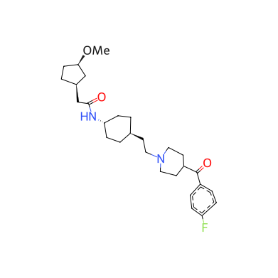 CO[C@@H]1CC[C@H](CC(=O)N[C@H]2CC[C@H](CCN3CCC(C(=O)c4ccc(F)cc4)CC3)CC2)C1